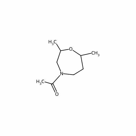 CC(=O)N1CCC(C)OC(C)C1